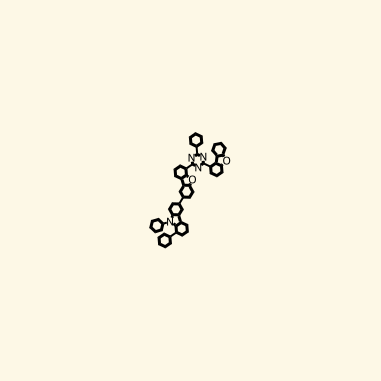 c1ccc(-c2nc(-c3cccc4c3oc3ccc(-c5ccc6c(c5)c5cccc(-c7ccccc7)c5n6-c5ccccc5)cc34)nc(-c3cccc4oc5ccccc5c34)n2)cc1